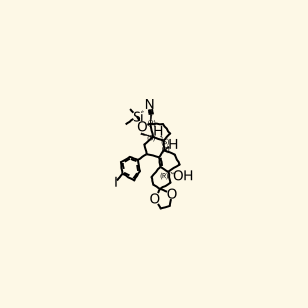 C[C@]12CC(c3ccc(I)cc3)C3=C4CCC5(C[C@]4(O)CC[C@H]3[C@@H]1CC[C@@]2(C#N)O[Si](C)(C)C)OCCO5